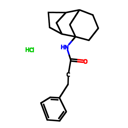 Cl.O=C(CCc1ccccc1)NC12CCCC(C1)C1CCC2C1